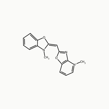 CN1C(=Cc2nc3c(ccc[n+]3C)o2)Oc2ccccc21